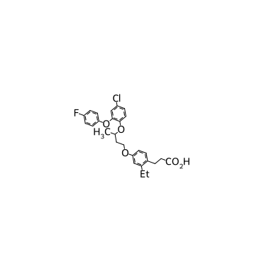 CCc1cc(OCCC(C)Oc2ccc(Cl)cc2Oc2ccc(F)cc2)ccc1CCC(=O)O